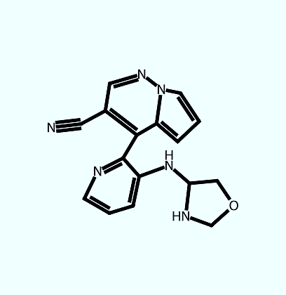 N#Cc1cnn2cccc2c1-c1ncccc1NC1COCN1